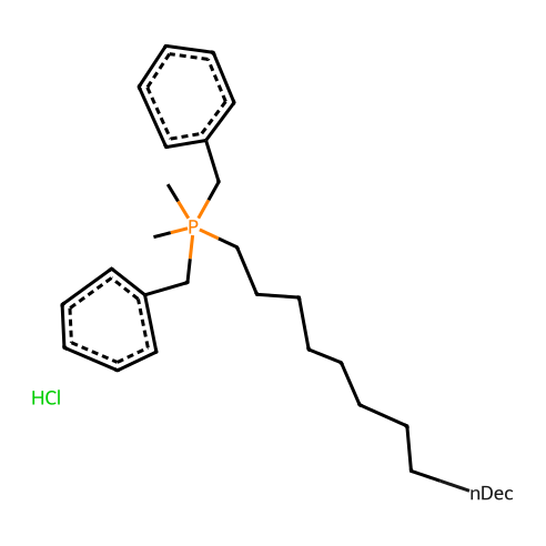 CCCCCCCCCCCCCCCCCCP(C)(C)(Cc1ccccc1)Cc1ccccc1.Cl